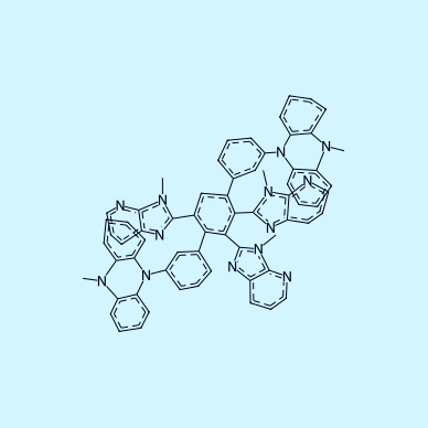 CN1c2ccccc2N(c2cccc(-c3cc(-c4nc5cccnc5n4C)c(-c4cccc(N5c6ccccc6N(C)c6ccccc65)c4)c(-c4nc5cccnc5n4C)c3-c3nc4cccnc4n3C)c2)c2ccccc21